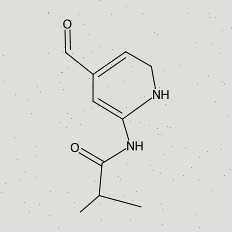 CC(C)C(=O)NC1=CC(C=O)=CCN1